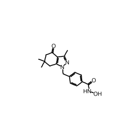 Cc1nn(Cc2ccc(C(=O)NO)cc2)c2c1C(=O)CC(C)(C)C2